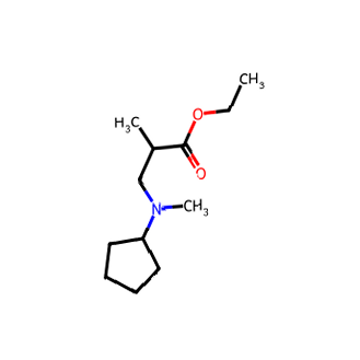 CCOC(=O)C(C)CN(C)C1CCCC1